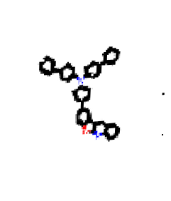 c1ccc(-c2ccc(N(c3ccc(-c4ccccc4)cc3)c3ccc(-c4ccc5oc6nc7ccccc7cc6c5c4)cc3)cc2)cc1